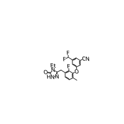 CCn1c(Cc2ccc(C)c(Oc3cc(C#N)cc(C(F)F)c3)c2F)n[nH]c1=O